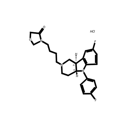 Cl.O=C1COCN1CCCCN1CC[C@@H]2[C@@H](C1)c1cc(F)ccc1N2c1ccc(F)cc1